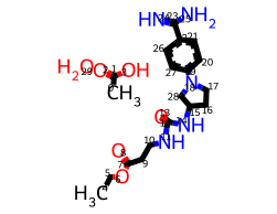 CC(=O)O.CCOC(=O)CCNC(=O)NC1CCN(c2ccc(C(=N)N)cc2)C1.O